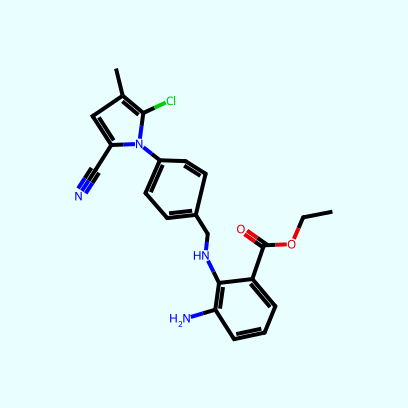 CCOC(=O)c1cccc(N)c1NCc1ccc(-n2c(C#N)cc(C)c2Cl)cc1